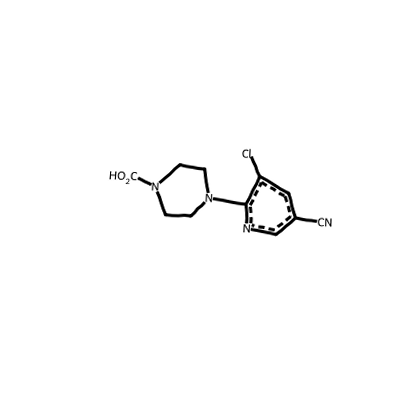 N#Cc1cnc(N2CCN(C(=O)O)CC2)c(Cl)c1